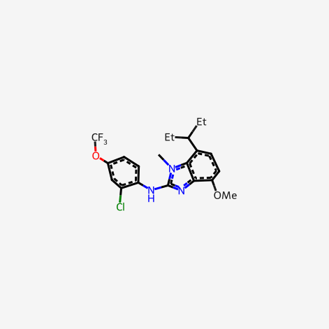 CCC(CC)c1ccc(OC)c2nc(Nc3ccc(OC(F)(F)F)cc3Cl)n(C)c12